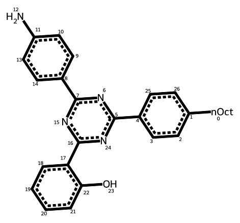 CCCCCCCCc1ccc(-c2nc(-c3ccc(N)cc3)nc(-c3ccccc3O)n2)cc1